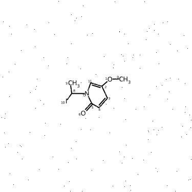 COc1ccc(=O)n(C(C)I)c1